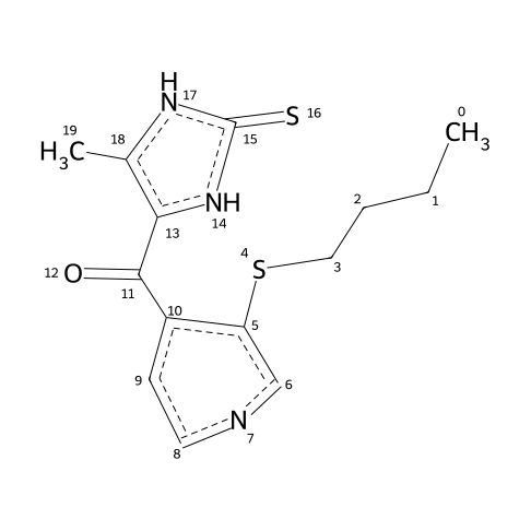 CCCCSc1cnccc1C(=O)c1[nH]c(=S)[nH]c1C